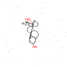 C[C@]12CCC3c4c5cc(O)cc4[C@@]4(CC[C@@]1(C4)C3CC5)[C@H]2O